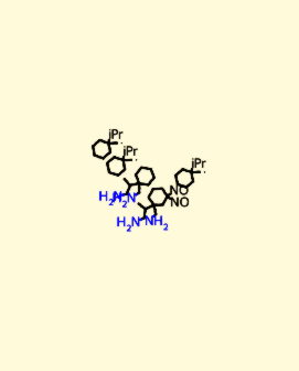 CC(CN)C1(CN)CCCC(N=O)(N=O)C1.CC(CN)C1(CN)CCCCC1.[CH2]C(C)C1([CH2])CCCCC1.[CH2]C(C)C1([CH2])CCCCC1.[CH2]C(C)C1([CH2])CCCCC1